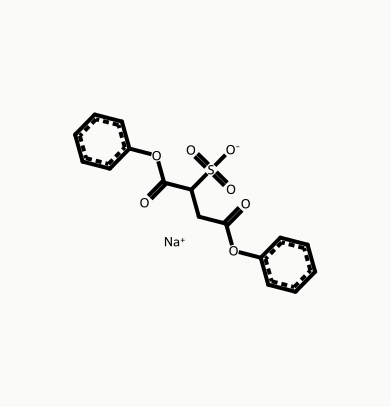 O=C(CC(C(=O)Oc1ccccc1)S(=O)(=O)[O-])Oc1ccccc1.[Na+]